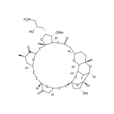 C=C1C[C@@H]2CC[C@]34C[C@@H](O)[C@H](O3)[C@@H]3O[C@H]5CC[C@H](CC(=O)C[C@@H]6[C@@H](OC)[C@@H](C[C@H](O)CN)O[C@H]6C[C@H]6O[C@@H](CC[C@@H]1O2)C[C@@H](C)C6=C)O[C@@H]5[C@H](O4)C3I